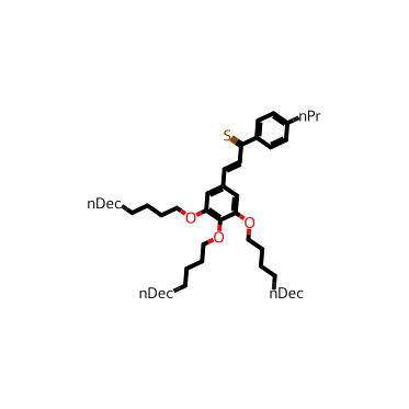 CCCCCCCCCCCCCCOc1cc(C=CC(=S)c2ccc(CCC)cc2)cc(OCCCCCCCCCCCCCC)c1OCCCCCCCCCCCCCC